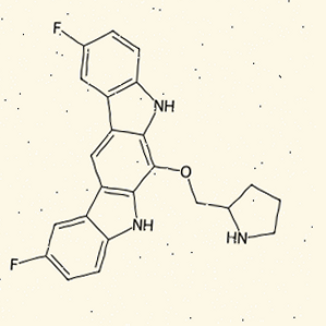 Fc1ccc2[nH]c3c(OCC4CCCN4)c4[nH]c5ccc(F)cc5c4cc3c2c1